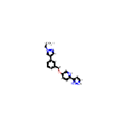 O=C(O)Cn1cc(-c2cccc(COc3ccc(-c4ccn[nH]4)nc3)c2)cn1